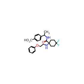 CC(NC(=O)C1(NCCOc2ccccc2)CCC(F)(F)CC1)c1ccc(C(=O)O)cc1